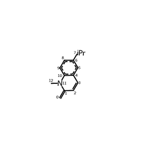 C=C1C=Cc2cc(C(C)C)ccc2N1C